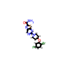 NC(=O)c1nc2cnc(N3CCC(Oc4cc(F)ccc4Br)CC3)nc2s1